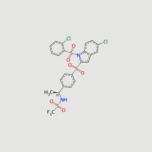 C[C@H](NS(=O)(=O)C(F)(F)F)c1ccc(S(=O)(=O)c2cc3cc(Cl)ccc3n2S(=O)(=O)c2ccccc2Cl)cc1